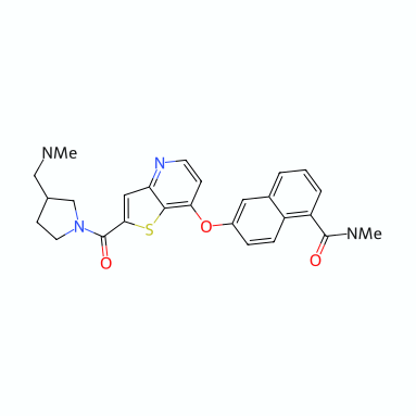 CNCC1CCN(C(=O)c2cc3nccc(Oc4ccc5c(C(=O)NC)cccc5c4)c3s2)C1